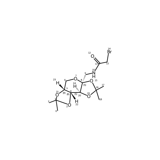 CC1(C)O[C@@H]2[C@@H](CO[C@@]3(CNC(=O)CBr)OC(C)(C)O[C@@H]23)O1